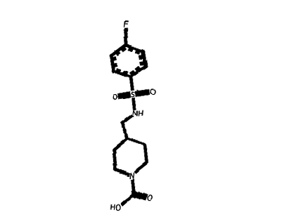 O=C(O)N1CCC(CNS(=O)(=O)c2ccc(F)cc2)CC1